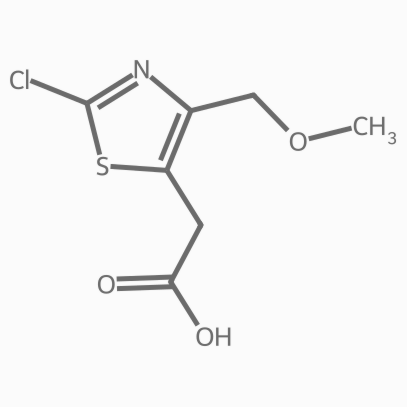 COCc1nc(Cl)sc1CC(=O)O